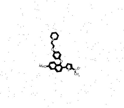 COc1ccc2c(Oc3ccc(OCCN4CCCCC4)cc3)c(C3CC=C([S+](C)[O-])S3)ccc2c1